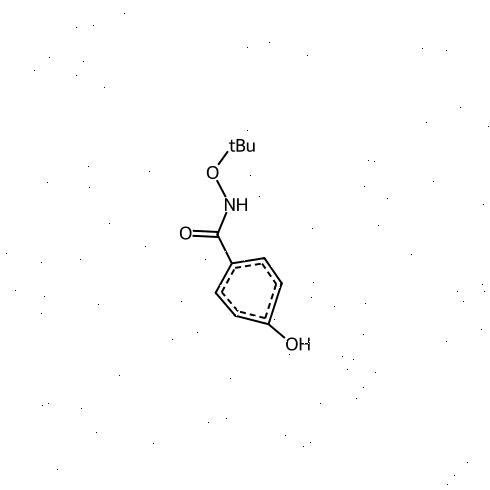 CC(C)(C)ONC(=O)c1ccc(O)cc1